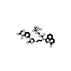 O=C1COc2ccc(N3C[C@H](CCCN(C(=O)OCOP(=O)(O)O)[C@@H]4Cn5c(=O)ccc6cccc4c65)OC3=O)nc2N1